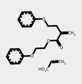 C=C(CCOc1ccccc1)C(=O)OCCOc1ccccc1.C=CC(=O)O